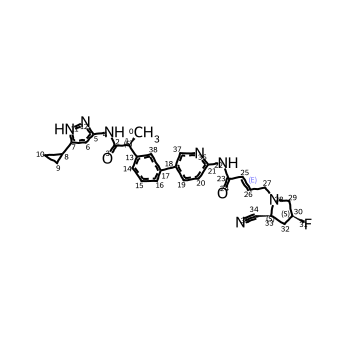 C[C@H](C(=O)Nc1cc(C2CC2)[nH]n1)c1cccc(-c2ccc(NC(=O)/C=C/CN3C[C@@H](F)C[C@H]3C#N)nc2)c1